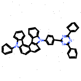 c1ccc(-c2nc(-c3ccccc3)nc(-c3ccc(-n4c5ccccc5c5c6c(ccc7c6c6ccccc6n7-c6ccccc6)ccc54)cc3)n2)cc1